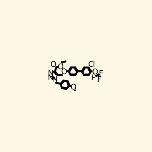 CCOC(=O)c1nnn(Cc2ccc(OC)cc2)c1COc1ccc(-c2ccc(OC(F)(F)F)c(Cl)c2)cc1